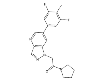 Cc1c(F)cc(-c2cnc3cnn(CC(=O)N4CCCC4)c3c2)cc1F